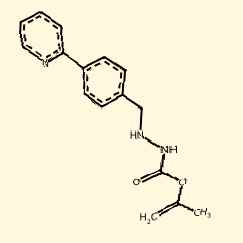 C=C(C)OC(=O)NNCc1ccc(-c2ccccn2)cc1